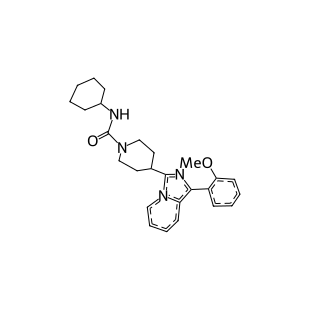 COc1ccccc1-c1nc(C2CCN(C(=O)NC3CCCCC3)CC2)n2ccccc12